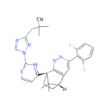 CC(C)(C#N)Cc1ncn(-c2nccc([C@@]34CC[C@@H](c5cc(-c6c(F)cccc6F)nnc53)C4(C)C)n2)n1